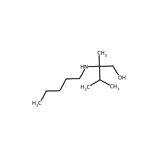 CCCCCNC(C)(CO)C(C)C